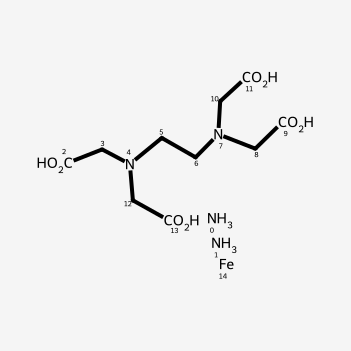 N.N.O=C(O)CN(CCN(CC(=O)O)CC(=O)O)CC(=O)O.[Fe]